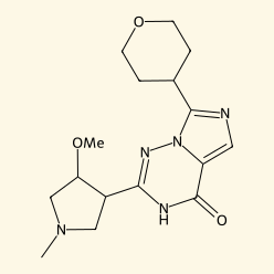 COC1CN(C)CC1c1nn2c(C3CCOCC3)ncc2c(=O)[nH]1